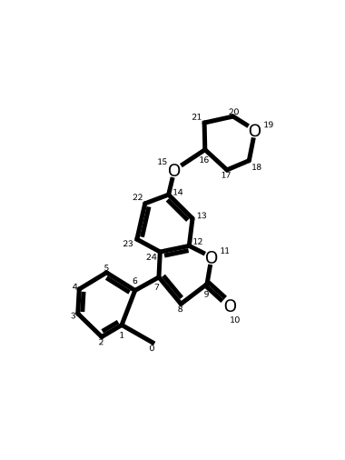 Cc1ccccc1-c1cc(=O)oc2cc(OC3CCOCC3)ccc12